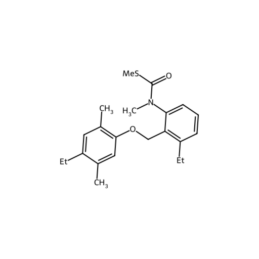 CCc1cc(C)c(OCc2c(CC)cccc2N(C)C(=O)SC)cc1C